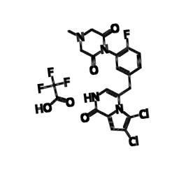 CN1CC(=O)N(c2cc(Cc3c[nH]c(=O)c4cc(Cl)c(Cl)n34)ccc2F)C(=O)C1.O=C(O)C(F)(F)F